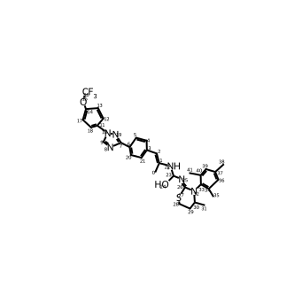 C/C(=C\c1ccc(-c2ncn(-c3ccc(OC(F)(F)F)cc3)n2)cc1)NC(O)/N=C1\SCCC(C)N1c1c(C)cc(C)cc1C